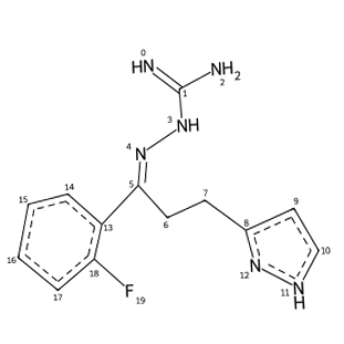 N=C(N)NN=C(CCc1cc[nH]n1)c1ccccc1F